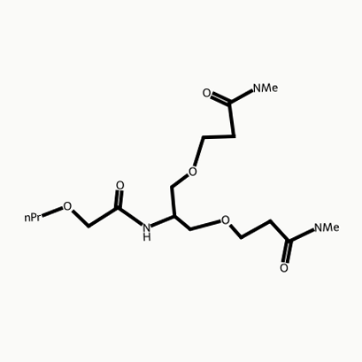 CCCOCC(=O)NC(COCCC(=O)NC)COCCC(=O)NC